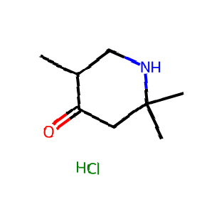 CC1CNC(C)(C)CC1=O.Cl